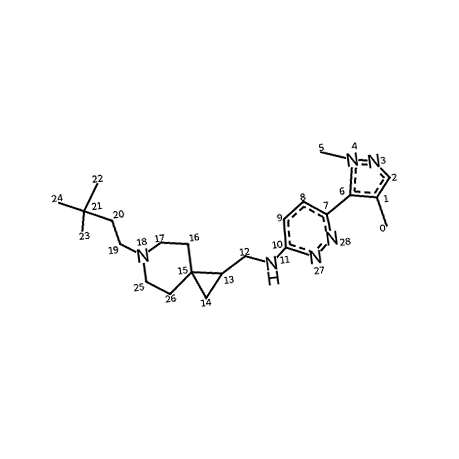 Cc1cnn(C)c1-c1ccc(NCC2CC23CCN(CCC(C)(C)C)CC3)nn1